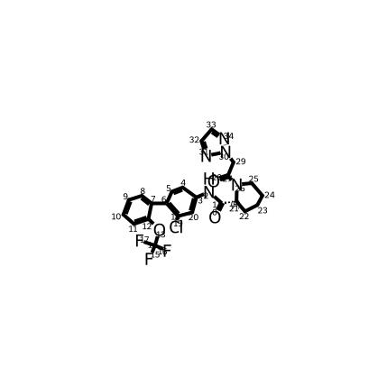 O=C(Nc1ccc(-c2ccccc2OC(F)(F)F)c(Cl)c1)[C@H]1CCCCN1C(=O)Cn1nccn1